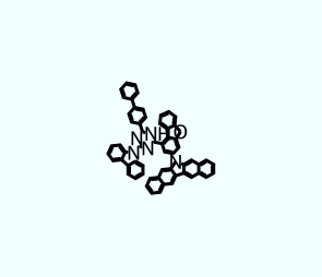 c1ccc(-c2ccc(C3N=C(n4c5ccccc5c5ccccc54)N=C(c4cc(-n5c6cc7ccccc7cc6c6cc7ccccc7cc65)cc5oc6ccccc6c45)N3)cc2)cc1